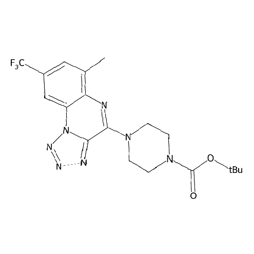 Cc1cc(C(F)(F)F)cc2c1nc(N1CCN(C(=O)OC(C)(C)C)CC1)c1nnnn12